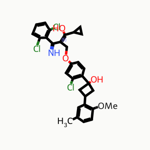 COc1ccc(C)cc1C1CC(O)(c2ccc(OC/C(C(=N)c3c(Cl)cccc3Cl)=C(/O)C3CC3)cc2Cl)C1